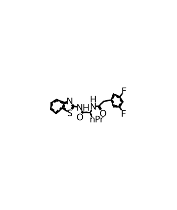 CCCC(NC(=O)Cc1cc(F)cc(F)c1)C(=O)Nc1nc2ccccc2s1